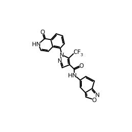 O=C(Nc1ccc2nocc2c1)c1cnn(-c2cccc3c(=O)[nH]ccc23)c1C(F)(F)F